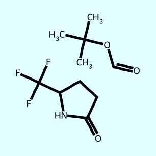 CC(C)(C)OC=O.O=C1CCC(C(F)(F)F)N1